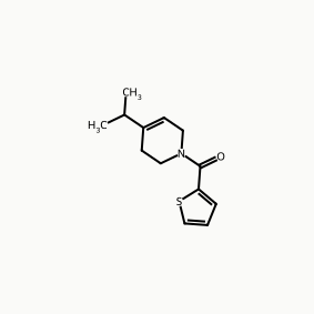 CC(C)C1=CCN(C(=O)c2cccs2)CC1